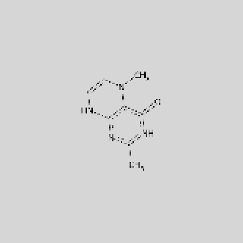 Cc1nc2c(c(=O)[nH]1)N(C)C=CN2